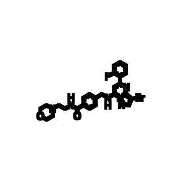 O=C(NCCN1CCOCC1)c1ccc(CNc2cc(-c3ccccc3F)nc3c(Br)cnn23)cc1